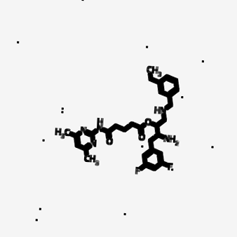 CCc1cccc(CNCC(OC(=O)CCCC(=O)Nc2nc(C)cc(C)n2)C(N)Cc2cc(F)cc(F)c2)c1